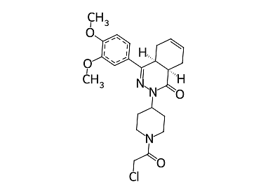 COc1ccc(C2=NN(C3CCN(C(=O)CCl)CC3)C(=O)[C@@H]3CC=CC[C@H]23)cc1OC